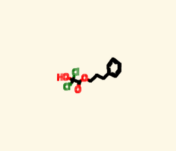 O=C(OCCCc1ccccc1)C(O)(Cl)Cl